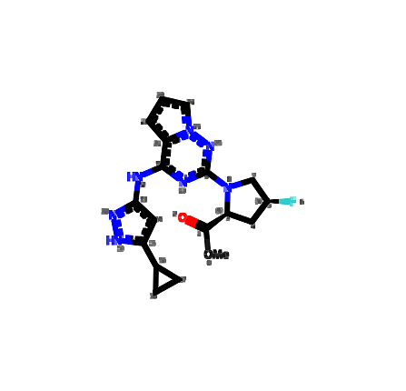 COC(=O)[C@@H]1C[C@H](F)CN1c1nc(Nc2cc(C3CC3)[nH]n2)c2cccn2n1